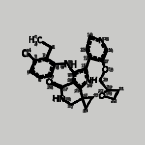 CCc1c(Cl)cccc1Nc1c(-c2ccncc2OC[C@H]2CCO2)[nH]c2c1C(=O)NCC21CC1